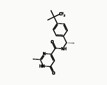 Cc1nc(C(=O)N[C@@H](C)c2ccc(C(C)(C)C(F)(F)F)cc2)cc(=O)[nH]1